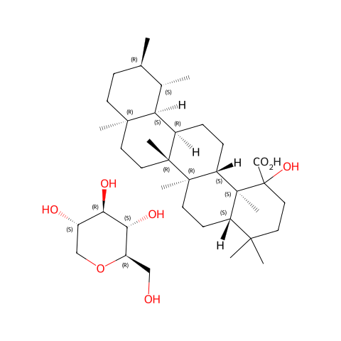 C[C@@H]1[C@H]2[C@H]3CC[C@@H]4[C@]5(C)[C@@H](CC[C@@]4(C)[C@]3(C)CC[C@@]2(C)CC[C@H]1C)C(C)(C)CCC5(O)C(=O)O.OC[C@H]1OC[C@H](O)[C@@H](O)[C@@H]1O